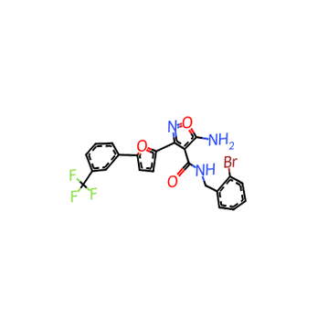 Nc1onc(-c2ccc(-c3cccc(C(F)(F)F)c3)o2)c1C(=O)NCc1ccccc1Br